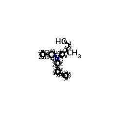 C#C/C=C\C=C(/C)c1ccc(N(C2=CC=C(c3ccccc3)CC=C2)C2=CC=C(c3cccc(-c4ccccc4)c3)CC2)cc1